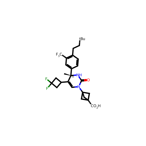 CC(C)(C)CCc1ccc([C@]2(C)NC(=O)N(C34CC(C(=O)O)(C3)C4)C=C2C2CC(F)(F)C2)cc1C(F)(F)F